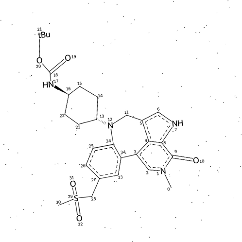 Cn1cc2c3c(c[nH]c3c1=O)CN([C@H]1CC[C@H](NC(=O)OC(C)(C)C)CC1)c1ccc(CS(C)(=O)=O)cc1-2